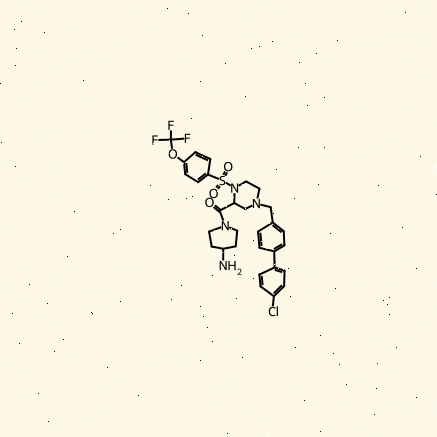 NC1CCN(C(=O)C2CN(Cc3ccc(-c4ccc(Cl)cc4)cc3)CCN2S(=O)(=O)c2ccc(OC(F)(F)F)cc2)CC1